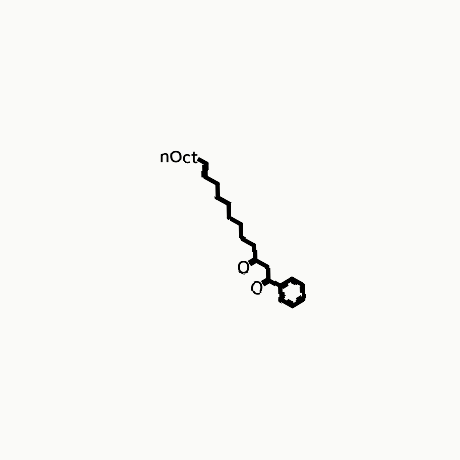 CCCCCCCCC=CCCCCCCCC(=O)CC(=O)c1ccccc1